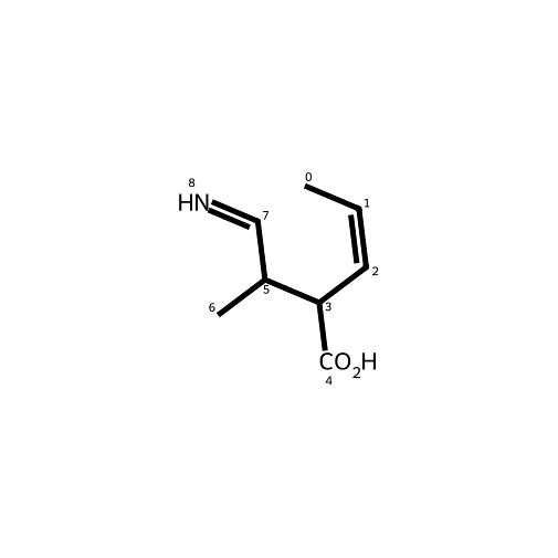 C/C=C\C(C(=O)O)C(C)C=N